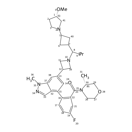 CO[C@H]1CCN(C2CC(C(C(C)C)N3CC(c4cc(-c5ccc(F)cc5C(=O)N5CCOC[C@H]5C)c5cnn(C)c5c4)C3)C2)C1